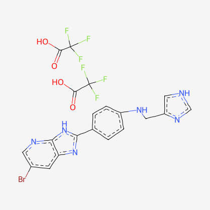 Brc1cnc2[nH]c(-c3ccc(NCc4c[nH]cn4)cc3)nc2c1.O=C(O)C(F)(F)F.O=C(O)C(F)(F)F